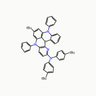 CC(C)(C)c1ccc(N(c2ccc(C(C)(C)C)cc2)c2ccc3c(n2)B2c4ccccc4N(c4ccccc4)c4cc(C(C)(C)C)cc(c42)N3c2ccccc2)cc1